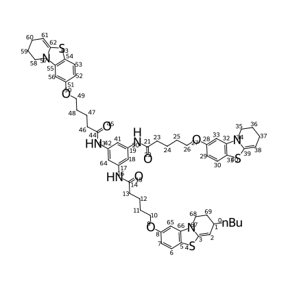 CCCCC1C=C2Sc3ccc(OCCCCC(=O)Nc4cc(NC(=O)CCCCOc5ccc6c(c5)N5CCCC=C5S6)cc(NC(=O)CCCCOc5ccc6c(c5)N5CCCC=C5S6)c4)cc3N2CC1